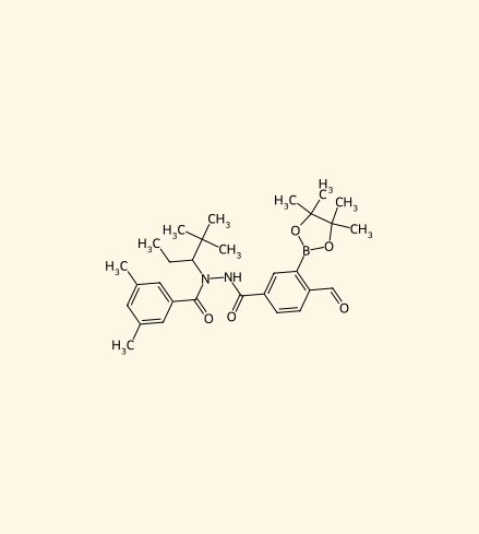 CCC(N(NC(=O)c1ccc(C=O)c(B2OC(C)(C)C(C)(C)O2)c1)C(=O)c1cc(C)cc(C)c1)C(C)(C)C